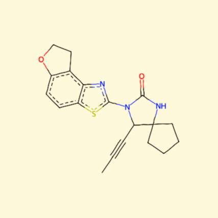 CC#CC1N(c2nc3c4c(ccc3s2)OCC4)C(=O)NC12CCCC2